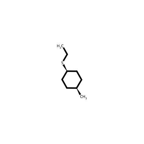 CCS[C@H]1CC[C@@H](C)CC1